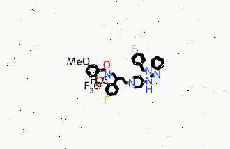 COc1ccc(OC(F)(F)F)c(C(=O)N(C)CC(CCN2CCC(Nc3nc4ccccc4n3Cc3ccc(F)cc3)CC2)c2ccc(F)cc2)c1